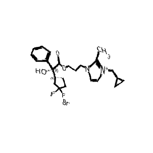 Cc1n(CCCOC(=O)[C@](O)(c2ccccc2)[C@@H]2CCC(F)(F)C2)cc[n+]1CC1CC1.[Br-]